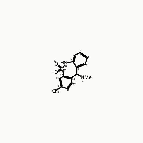 CNC1c2ccccc2NS(=O)(=O)c2cc(Cl)ccc21